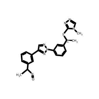 CC(N=O)c1cccc(-c2cnn(-c3cccc([C@H](C)Sc4nncn4C)c3)n2)c1